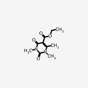 CCOC(=O)c1c(C)n(C)c(=O)n(C)c1=O